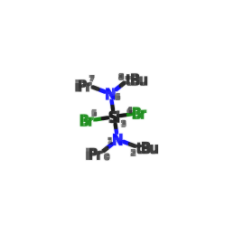 CC(C)N(C(C)(C)C)[Si](Br)(Br)N(C(C)C)C(C)(C)C